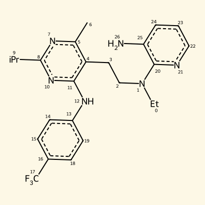 CCN(CCc1c(C)nc(C(C)C)nc1Nc1ccc(C(F)(F)F)cc1)c1ncccc1N